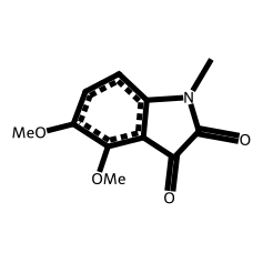 COc1ccc2c(c1OC)C(=O)C(=O)N2C